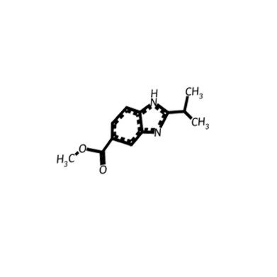 COC(=O)c1ccc2[nH]c(C(C)C)nc2c1